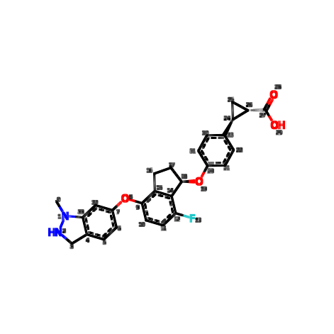 CN1NCc2ccc(Oc3ccc(F)c4c3CC[C@H]4Oc3ccc([C@H]4C[C@@H]4C(=O)O)cc3)cc21